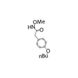 CCCCOc1ccc(CC(=O)NOC)cc1